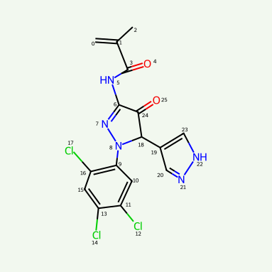 C=C(C)C(=O)NC1=NN(c2cc(Cl)c(Cl)cc2Cl)C(c2cn[nH]c2)C1=O